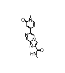 CNC(=O)c1cn2cc(-c3ccn(C)c(=O)c3)ncc2n1